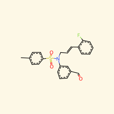 Cc1ccc(S(=O)(=O)N(C/C=C/c2ccccc2F)c2cccc(C=O)c2)cc1